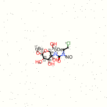 CCCCCCCCCCN(C(=O)N(CCCl)N=O)[C@@]1(O)[C@H](O)[C@@H](O)[C@@H](OCCCC)O[C@@H]1CO